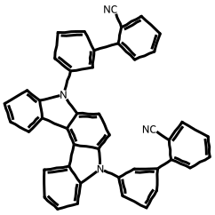 N#Cc1ccccc1-c1cccc(-n2c3ccccc3c3c4c5ccccc5n(-c5cccc(-c6ccccc6C#N)c5)c4ccc32)c1